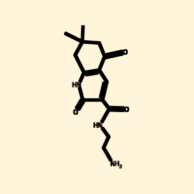 CC1(C)CC(=O)c2cc(C(=O)NCCN)c(=O)[nH]c2C1